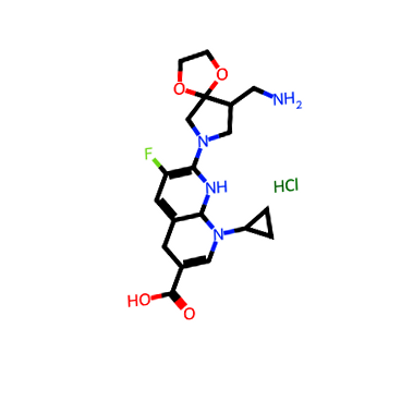 Cl.NCC1CN(C2=C(F)C=C3CC(C(=O)O)=CN(C4CC4)C3N2)CC12OCCO2